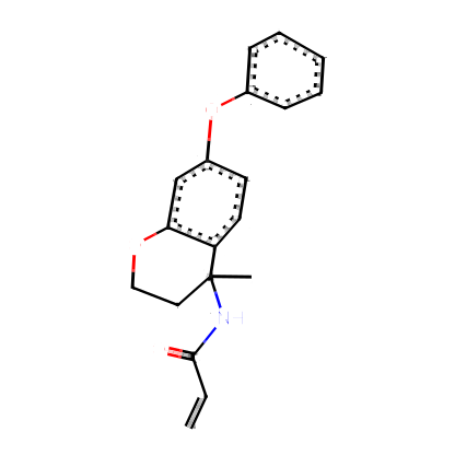 C=CC(=O)NC1(C)CCOc2cc(Oc3ccccc3)ccc21